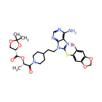 C[C@H](OC(=O)[C@@H]1COC(C)(C)O1)C(=O)N1CCC(CCn2c(Sc3cc4c(cc3Br)OCO4)nc3c(N)ncnc32)CC1